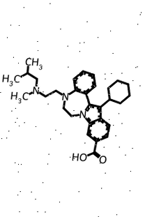 CC(C)CN(C)CCN1CCn2c(c(C3CCCCC3)c3ccc(C(=O)O)cc32)-c2ccccc21